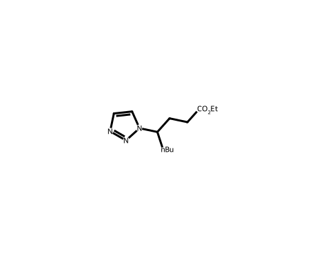 CCCCC(CCC(=O)OCC)n1ccnn1